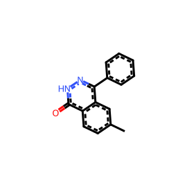 Cc1ccc2c(=O)[nH]nc(-c3ccccc3)c2c1